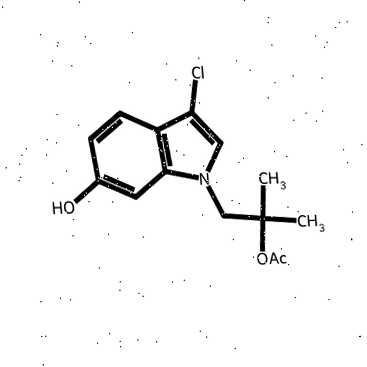 CC(=O)OC(C)(C)Cn1cc(Cl)c2ccc(O)cc21